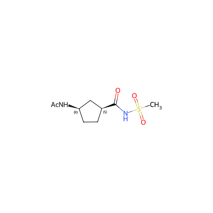 CC(=O)N[C@@H]1CC[C@H](C(=O)NS(C)(=O)=O)C1